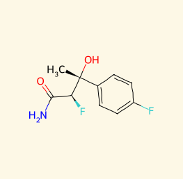 C[C@@](O)(c1ccc(F)cc1)[C@@H](F)C(N)=O